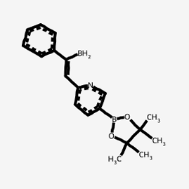 B/C(=C\c1ccc(B2OC(C)(C)C(C)(C)O2)cn1)c1ccccc1